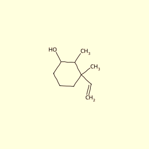 C=CC1(C)CCCC(O)C1C